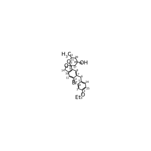 CCOc1ccc(Cc2cc3c(cc2Br)CO[C@@]32CC(O)CC(C)O2)cc1